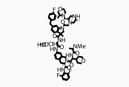 CNC(C)C(=O)NC(C(=O)N1Cc2cc(NC(=O)CNC(=O)C3(C)CN(C(=O)CN4C[C@@H](C)NC[C@@H]4CN4CCOCC4C)c4cc(Cc5ccc(F)cc5)ccc43)ccc2C[C@H]1C(=O)Nc1c(F)cccc1F)C1CCOCC1.Cl.Cl.Cl